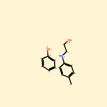 Cc1ccc(NCCO)cc1.Oc1ccccc1